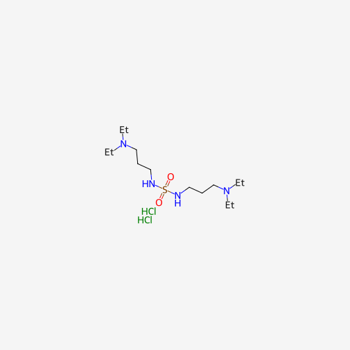 CCN(CC)CCCNS(=O)(=O)NCCCN(CC)CC.Cl.Cl